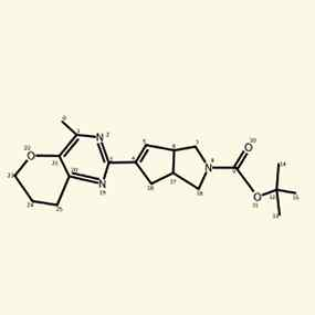 Cc1nc(C2=CC3CN(C(=O)OC(C)(C)C)CC3C2)nc2c1OCCC2